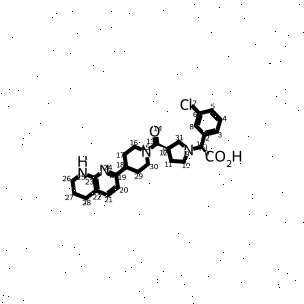 O=C(O)[C@H](c1cccc(Cl)c1)N1CC[C@@H](C(=O)N2CCC(c3ccc4c(n3)NCCC4)CC2)C1